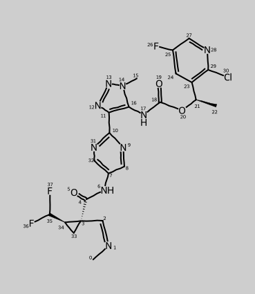 C/N=C\[C@@]1(C(=O)Nc2cnc(-c3nnn(C)c3NC(=O)O[C@H](C)c3cc(F)cnc3Cl)nc2)C[C@H]1C(F)F